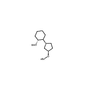 CCCCO[C@@H]1CCN(C2CCCC[C@H]2OC)C1